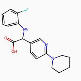 O=C(O)C(Nc1ccccc1F)c1ccc(N2CCCCC2)nc1